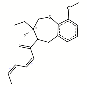 C=C(/C=C\C=C/C)C1Cc2cccc(OC)c2SC[C@]1(C)CC